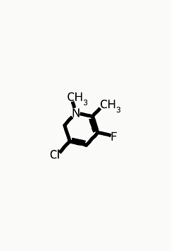 CC1=C(F)C=C(Cl)CN1C